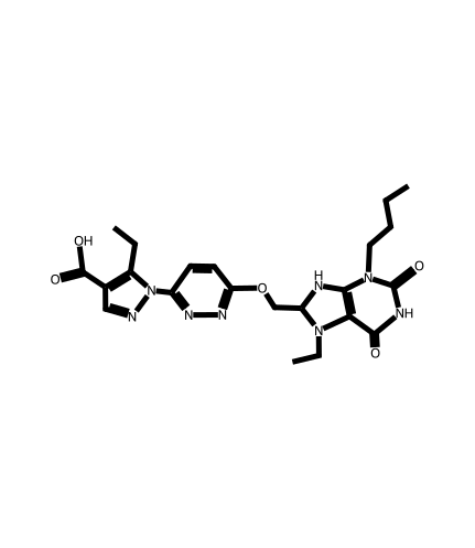 CCCCn1c2c(c(=O)[nH]c1=O)N(CC)C(COc1ccc(-n3ncc(C(=O)O)c3CC)nn1)N2